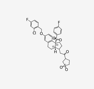 O=C(CC1CC[C@@]2(S(=O)(=O)c3ccc(F)cc3)c3ccc(OCc4ccc(F)cc4Cl)cc3CC[C@@H]12)C1CCS(=O)(=O)C1